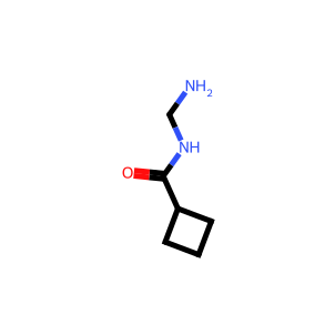 NCNC(=O)C1CCC1